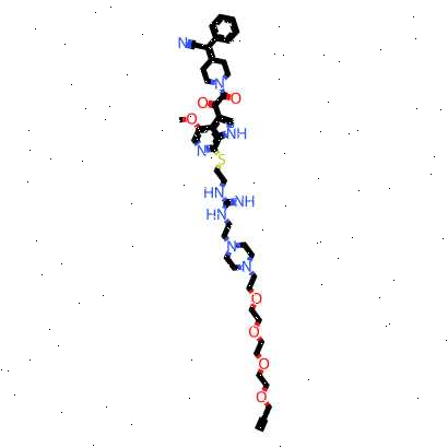 C#CCOCCOCCOCCOCCN1CCN(CCNC(=N)NCCSc2ncc(OC)c3c(C(=O)C(=O)N4CCC(=C(C#N)c5ccccc5)CC4)c[nH]c23)CC1